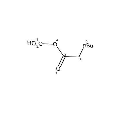 CCCCCC(=O)OC(=O)O